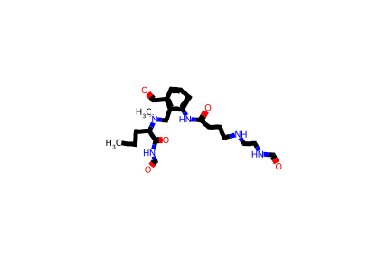 CCCC(C(=O)NC=O)N(C)Cc1c(C=O)cccc1NC(=O)CCCNCCNC=O